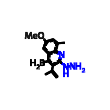 Bc1c(C(=C)C)c(NN)nc2c(C)cc(OC)cc12